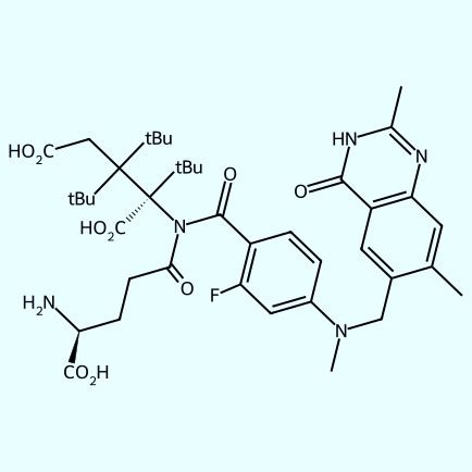 Cc1nc2cc(C)c(CN(C)c3ccc(C(=O)N(C(=O)CC[C@H](N)C(=O)O)[C@](C(=O)O)(C(C)(C)C)C(CC(=O)O)(C(C)(C)C)C(C)(C)C)c(F)c3)cc2c(=O)[nH]1